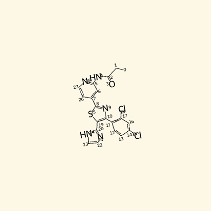 CCC(=O)Nc1cc(-c2nc(-c3ccc(Cl)cc3Cl)c(-c3ncc[nH]3)s2)ccn1